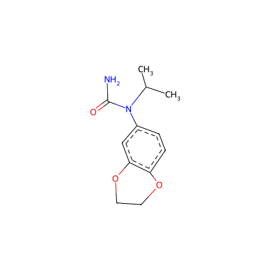 CC(C)N(C(N)=O)c1ccc2c(c1)OCCO2